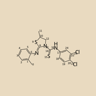 Cc1ccccc1N=C1SC(C)CN1C(=S)Nc1ccc(Cl)c(Cl)c1